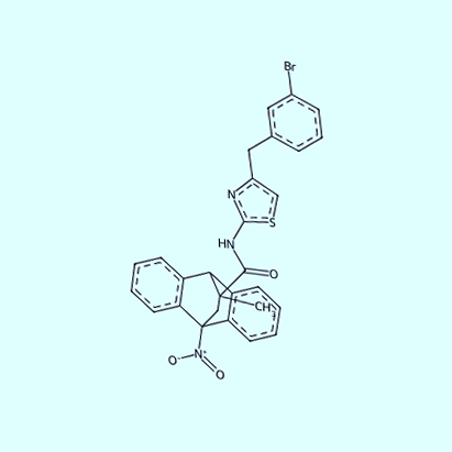 CC1(C(=O)Nc2nc(Cc3cccc(Br)c3)cs2)CC2([N+](=O)[O-])c3ccccc3C1c1ccccc12